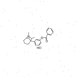 CC1N(C)C2CCCC1(c1cccc(OC(=O)c3ccccc3)c1)C2.Cl